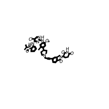 COc1cc(C2CCN(CC#Cc3ccc4c(c3)CN(C3CCC(=O)NC3=O)C4=O)CC2)c(C)cc1Nc1ncc(Cl)c(Nc2ccccc2S(=O)(=O)C(C)C)n1